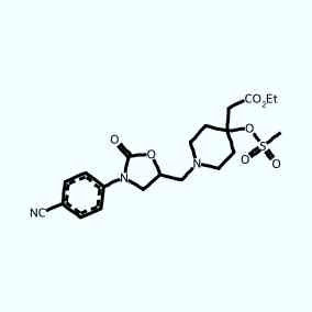 CCOC(=O)CC1(OS(C)(=O)=O)CCN(CC2CN(c3ccc(C#N)cc3)C(=O)O2)CC1